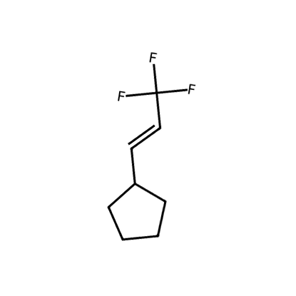 FC(F)(F)/C=C/C1CCCC1